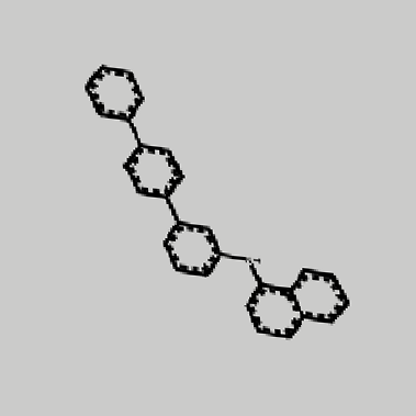 c1ccc(-c2ccc(-c3cccc(Nc4cccc5ccccc45)c3)cc2)cc1